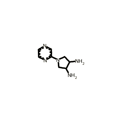 NC1CN(c2cnccn2)CC1N